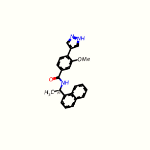 COc1cc(C(=O)N[C@H](C)c2cccc3ccccc23)ccc1-c1cn[nH]c1